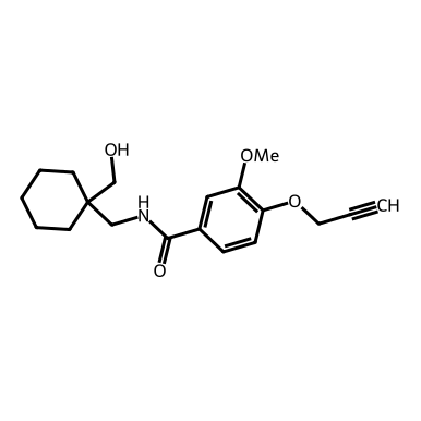 C#CCOc1ccc(C(=O)NCC2(CO)CCCCC2)cc1OC